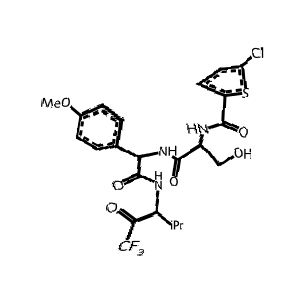 COc1ccc(C(NC(=O)C(CO)NC(=O)c2ccc(Cl)s2)C(=O)NC(C(=O)C(F)(F)F)C(C)C)cc1